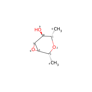 C[C@@H]1O[C@H](C)C2OC2[C@H]1O